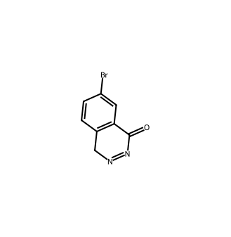 O=C1N=NCc2ccc(Br)cc21